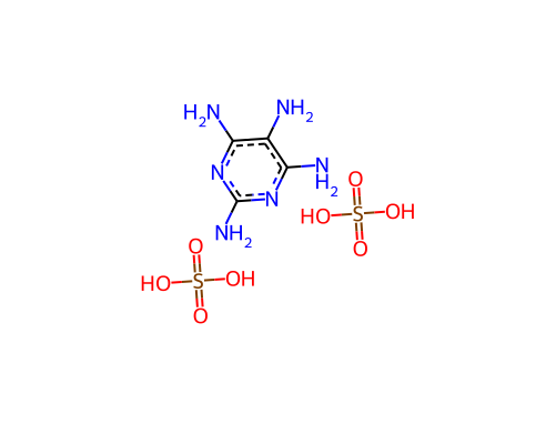 Nc1nc(N)c(N)c(N)n1.O=S(=O)(O)O.O=S(=O)(O)O